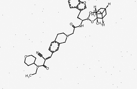 CCN(C(=O)/C(C#N)=C/c1ccc2c(c1)CN(CC(=O)N[C@@H](Cc1coc3ccccc13)B1O[C@@H]3C[C@@H]4C[C@@H](C4(C)C)[C@]3(C)O1)CC2)C1CCOCC1